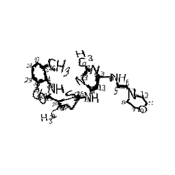 Cc1nc(NCCN2CCOCC2)cc(Nc2nc(C)c(C(=O)Nc3c(C)cccc3Cl)s2)n1